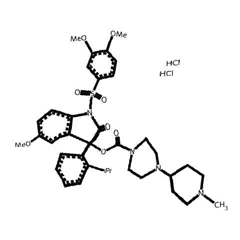 COc1ccc2c(c1)C(OC(=O)N1CCN(C3CCN(C)CC3)CC1)(c1ccccc1C(C)C)C(=O)N2S(=O)(=O)c1ccc(OC)c(OC)c1.Cl.Cl